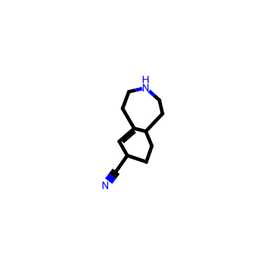 N#CC1C=C2CCNCCC2CC1